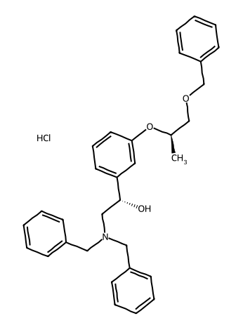 C[C@H](COCc1ccccc1)Oc1cccc([C@H](O)CN(Cc2ccccc2)Cc2ccccc2)c1.Cl